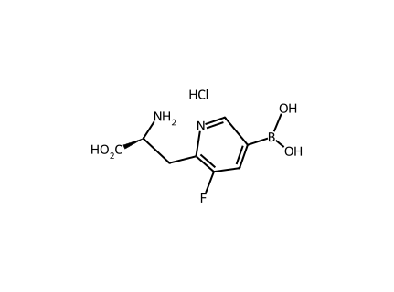 Cl.N[C@@H](Cc1ncc(B(O)O)cc1F)C(=O)O